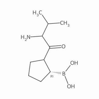 CC(C)C(N)C(=O)C1CCC[C@H]1B(O)O